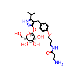 CC(C)c1[nH]nc(O[C@@H]2O[C@H](CO)[C@@H](O)[C@H](O)[C@H]2O)c1Cc1ccc(OCCCNC(=O)CCN)cc1